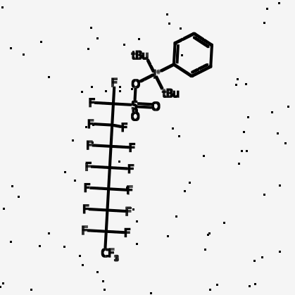 CC(C)(C)[I+](OS(=O)(=O)C(F)(F)C(F)(F)C(F)(F)C(F)(F)C(F)(F)C(F)(F)C(F)(F)C(F)(F)F)(c1ccccc1)C(C)(C)C